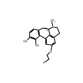 CN1CCc2cc(OCCF)cc3c2[C@H]1Cc1ccc(O)c(O)c1-3